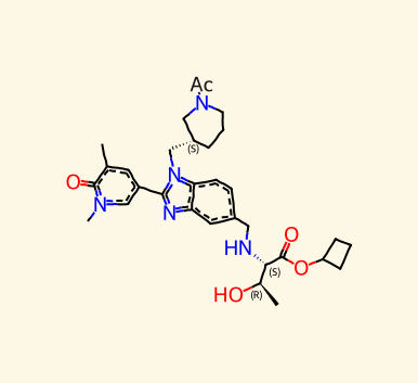 CC(=O)N1CCC[C@H](Cn2c(-c3cc(C)c(=O)n(C)c3)nc3cc(CN[C@H](C(=O)OC4CCC4)[C@@H](C)O)ccc32)C1